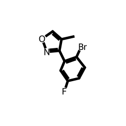 Cc1conc1-c1cc(F)ccc1Br